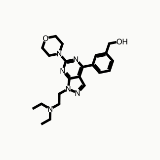 CCN(CC)CCn1ncc2c(-c3cccc(CO)c3)nc(N3CCOCC3)nc21